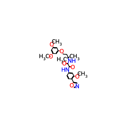 COc1cc(OC)cc(OCCC(C)(C)NC(=O)C(=O)Nc2ccc(-c3cnco3)c(OC)c2)c1